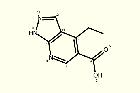 CCc1c(C(=O)O)cnc2[nH]ncc12